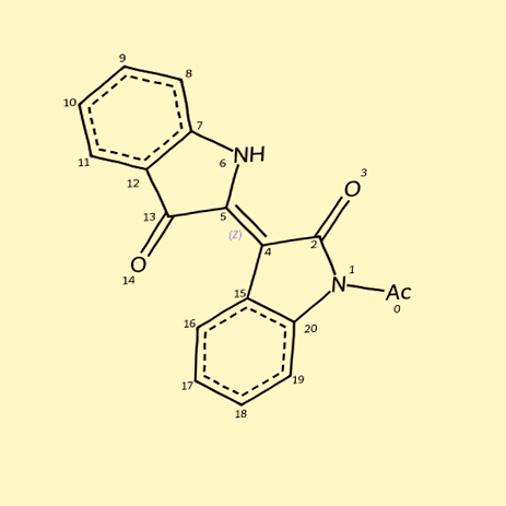 CC(=O)N1C(=O)/C(=C2\Nc3ccccc3C2=O)c2ccccc21